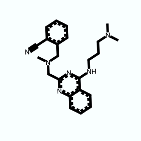 CN(C)CCCNc1nc(CN(C)Cc2ccccc2C#N)nc2ccccc12